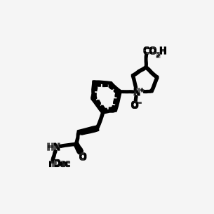 CCCCCCCCCCNC(=O)/C=C/c1cccc([N+]2([O-])CCC(C(=O)O)C2)c1